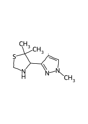 Cn1c[c]c(C2NCSC2(C)C)n1